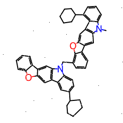 Cn1c2cc3c(cc2c2c(C4CCCCC4)cccc21)oc1c(Cn2c4ccc(C5CCCCC5)cc4c4cc5oc6ccccc6c5cc42)cccc13